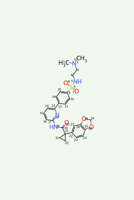 CN(C)CCNS(=O)(=O)c1ccc(-c2cccc(NC(=O)C3(c4ccc5c(c4)OCO5)CC3)n2)cc1